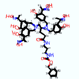 CC(=NO)c1cc(CN(Cc2ccc(O)c(C(C)=NO)c2)CC(CCC(=O)NCCCNC(=O)OCc2ccccc2)N(Cc2ccc(O)c(C(C)=NO)c2)Cc2ccc(O)c(C(C)=NO)c2)ccc1O